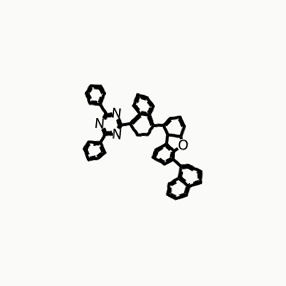 C1=CC2Oc3c(-c4cccc5ccccc45)cccc3C2C(C2=c3ccccc3=C(c3nc(-c4ccccc4)nc(-c4ccccc4)n3)CC2)=C1